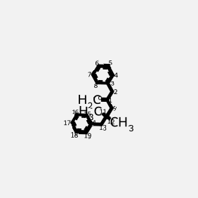 C=C(Cc1ccccc1)CC(C)(C)Cc1ccccc1